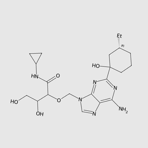 CC[C@@H]1CCCC(O)(c2nc(N)c3ncn(COC(C(=O)NC4CC4)C(O)CO)c3n2)C1